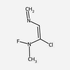 C=N/C=C(/Cl)N(C)F